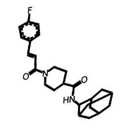 O=C(NC1C2CC3CC(C2)CC1C3)C1CCN(C(=O)/C=C/c2ccc(F)cc2)CC1